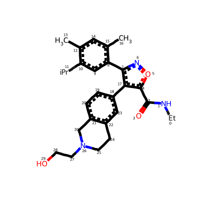 CCNC(=O)c1onc(-c2cc(C(C)C)c(C)cc2C)c1-c1ccc2c(c1)CCN(CCO)C2